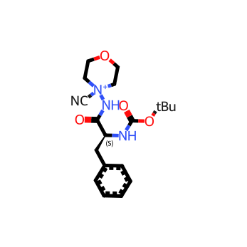 CC(C)(C)OC(=O)N[C@@H](Cc1ccccc1)C(=O)N[N+]1(C#N)CCOCC1